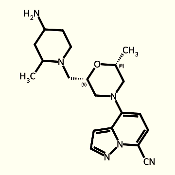 CC1CC(N)CCN1C[C@H]1CN(c2ccc(C#N)n3nccc23)C[C@@H](C)O1